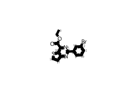 CCOC(=O)c1nc(-c2cccc(Br)c2)nc2ccsc12